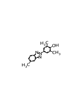 Cc1ccc2nn(-c3cc(C)c(O)c(C)c3)nc2c1